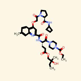 CCOC(=O)N1CCN(C(=O)[C@H](CCC(=O)OCC(C)(O)CC)NC(=O)c2cc(OCC(=O)N3CCC[C@H]3C(=O)NC3CCC3)c3ccc(C)cc3n2)CC1